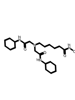 O=C(CCCCCN(CC(=O)NC1CCCCC1)CC(=O)NC1CCCCC1)NO